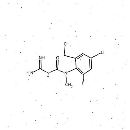 CCc1cc(Cl)cc(F)c1N(C)C(=O)NC(=N)N